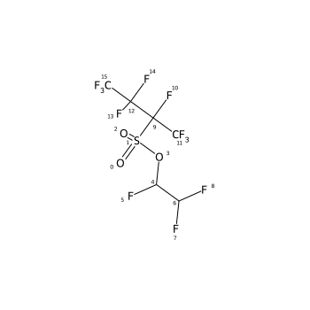 O=S(=O)(OC(F)C(F)F)C(F)(C(F)(F)F)C(F)(F)C(F)(F)F